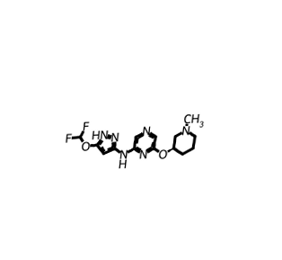 CN1CCC[C@@H](Oc2cncc(Nc3cc(OC(F)F)[nH]n3)n2)C1